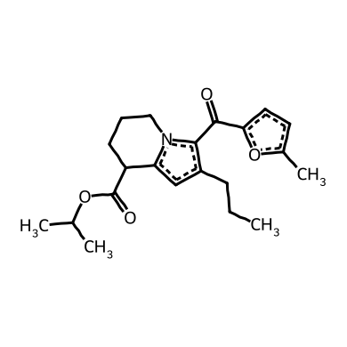 CCCc1cc2n(c1C(=O)c1ccc(C)o1)CCCC2C(=O)OC(C)C